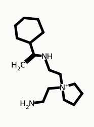 C=C(NCC[N+]1(CCN)CCCC1)C1CCCCC1